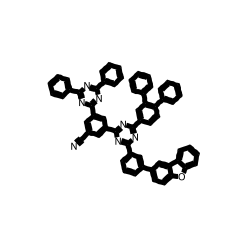 N#Cc1cc(-c2nc(-c3ccccc3)nc(-c3ccccc3)n2)cc(-c2nc(-c3cccc(-c4ccc5oc6ccccc6c5c4)c3)nc(-c3ccc(-c4ccccc4)c(-c4ccccc4)c3)n2)c1